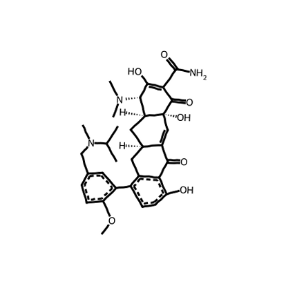 COc1ccc(CN(C)C(C)C)cc1-c1ccc(O)c2c1C[C@H]1C[C@H]3[C@H](N(C)C)C(O)=C(C(N)=O)C(=O)[C@@]3(O)C=C1C2=O